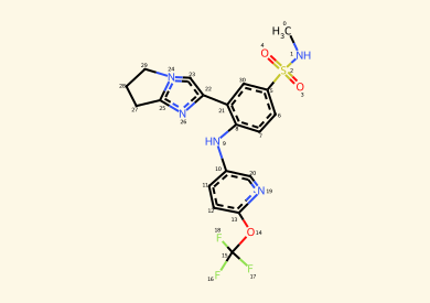 CNS(=O)(=O)c1ccc(Nc2ccc(OC(F)(F)F)nc2)c(-c2cn3c(n2)CCC3)c1